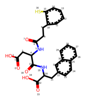 O=C(O)CC(NC(=O)CCc1ccccc1S)C(=O)NC(Cc1ccc2ccccc2c1)C(=O)O